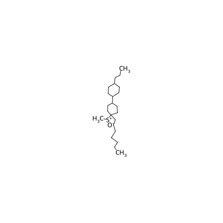 CCCCCCCC1([S+](C)[O-])CCC(C2CCC(CCC)CC2)CC1